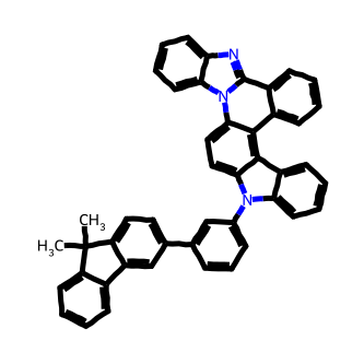 CC1(C)c2ccccc2-c2cc(-c3cccc(-n4c5ccccc5c5c6c7ccccc7c7nc8ccccc8n7c6ccc54)c3)ccc21